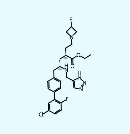 CCOC(=O)[C@H](CCN1CC(F)C1)C[C@@H](Cc1ccc(-c2cc(Cl)ccc2F)cc1)NCc1cnn[nH]1